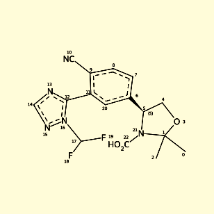 CC1(C)OC[C@H](c2ccc(C#N)c(-c3ncnn3C(F)F)c2)N1C(=O)O